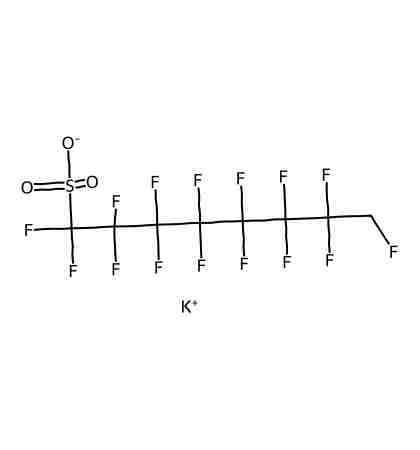 O=S(=O)([O-])C(F)(F)C(F)(F)C(F)(F)C(F)(F)C(F)(F)C(F)(F)C(F)(F)CF.[K+]